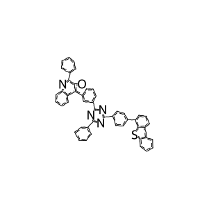 c1ccc(-c2nc(-c3ccc(-c4cccc5c4sc4ccccc45)cc3)nc(-c3ccc4oc5c(-c6ccccc6)nc6ccccc6c5c4c3)n2)cc1